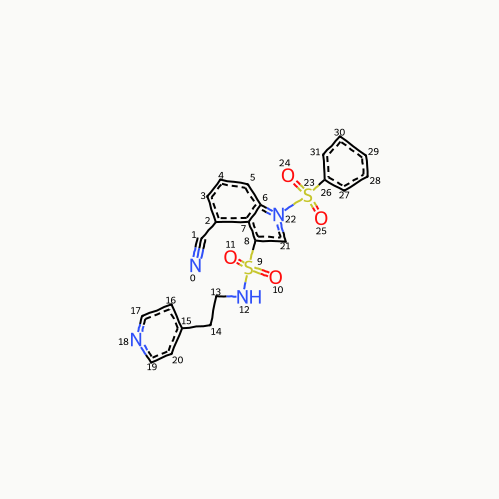 N#Cc1cccc2c1c(S(=O)(=O)NCCc1ccncc1)cn2S(=O)(=O)c1ccccc1